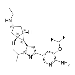 CCN[C@H]1C[C@@H]2[C@H](C1)[C@H]2c1cc(-c2cnc(N)c(OC(F)F)c2)nn1C(C)C